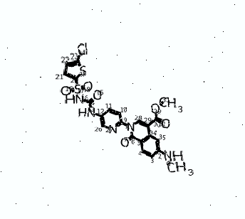 CNc1ccc2c(=O)n(-c3ccc(NC(=O)NS(=O)(=O)c4ccc(Cl)s4)cn3)cc(C(=O)OC)c2c1